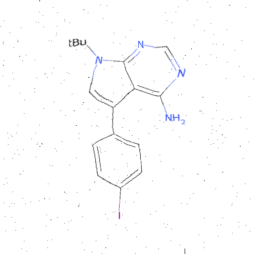 CC(C)(C)n1cc(-c2ccc(I)cc2)c2c(N)ncnc21